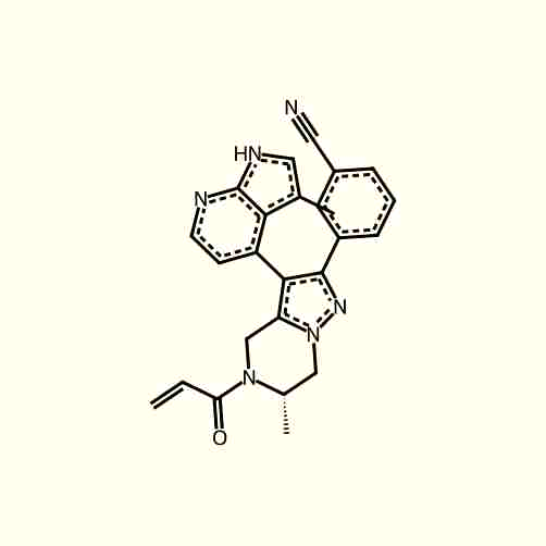 C=CC(=O)N1Cc2c(-c3ccnc4[nH]cc(C)c34)c(-c3cccc(C#N)c3)nn2C[C@@H]1C